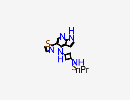 CCCSN[C@H]1C[C@@H](Nc2c(-c3nccs3)cnc3[nH]ccc23)C1